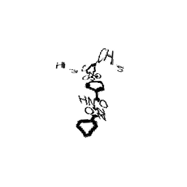 C[C@@H]1C[C@H](C)CN(S(=O)(=O)c2ccc(C(=O)Nc3nnc(-c4ccccc4)o3)cc2)C1